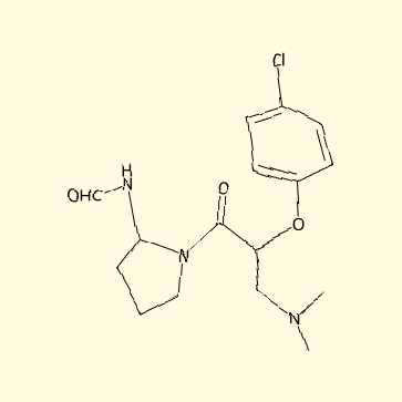 CN(C)CC(Oc1ccc(Cl)cc1)C(=O)N1CCCC1NC=O